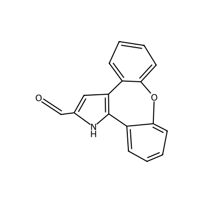 O=Cc1cc2c([nH]1)-c1ccccc1Oc1ccccc1-2